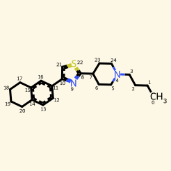 CCCCN1CCC(c2nc(-c3ccc4c(c3)CCCC4)cs2)CC1